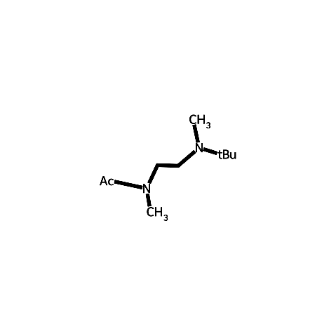 CC(=O)N(C)CCN(C)C(C)(C)C